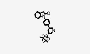 CC1(C)OB(c2cncc(-c3ccc(N4C(=O)Cc5ccccc54)cc3)c2)OC1(C)C